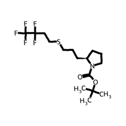 CC(C)(C)OC(=O)N1CCC[C@@H]1CCCSCCC(F)(F)C(F)(F)F